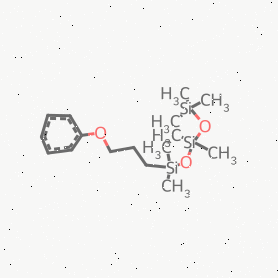 C[Si](C)(C)O[Si](C)(C)O[Si](C)(C)CCCOc1ccccc1